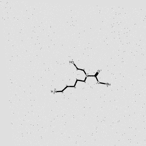 CC(C)(C)OC(=O)N(CCO)CCCCCN